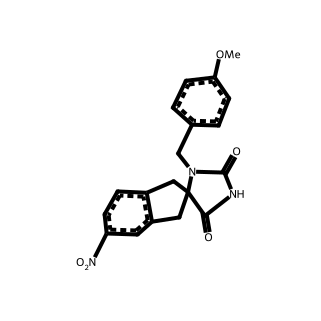 COc1ccc(CN2C(=O)NC(=O)C23Cc2ccc([N+](=O)[O-])cc2C3)cc1